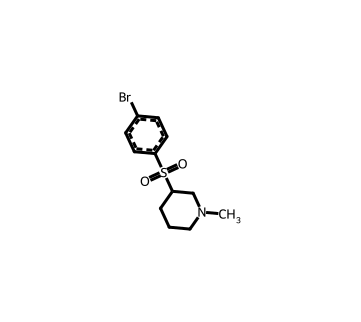 CN1CCCC(S(=O)(=O)c2ccc(Br)cc2)C1